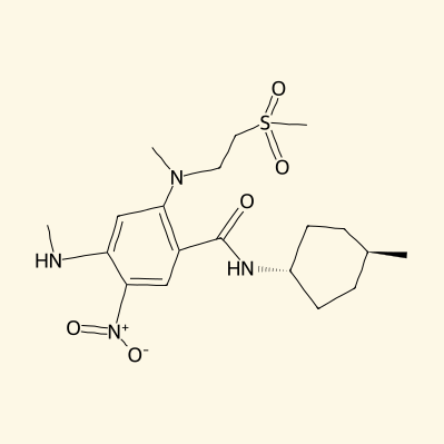 CNc1cc(N(C)CCS(C)(=O)=O)c(C(=O)N[C@H]2CC[C@H](C)CC2)cc1[N+](=O)[O-]